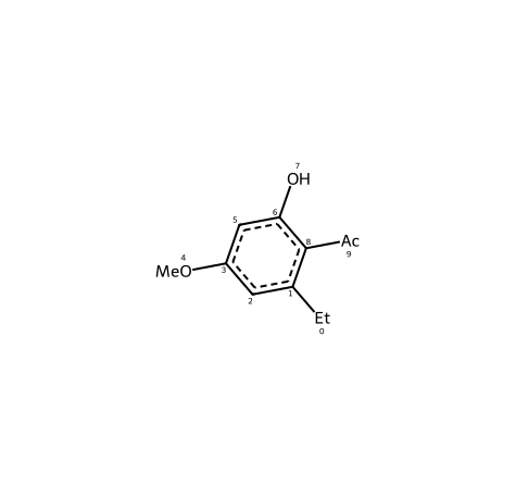 CCc1cc(OC)cc(O)c1C(C)=O